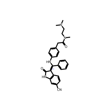 CN(C)CCN(C)C(=O)Cc1ccc(N/C(=C2\C(=O)Nc3cc(C#N)ccc32)c2ccccc2)cc1